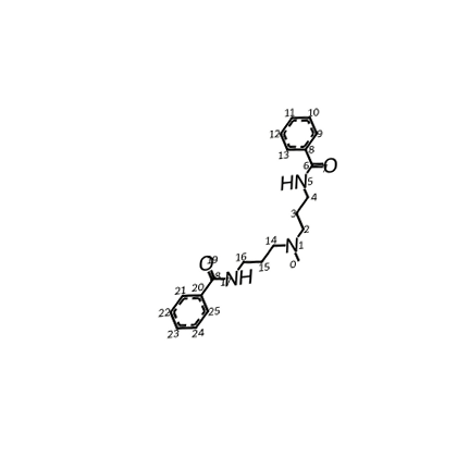 CN(CCCNC(=O)c1ccccc1)CCCNC(=O)c1ccccc1